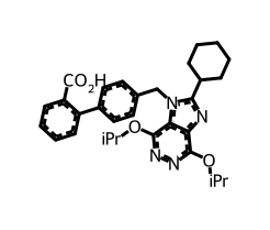 CC(C)Oc1nnc(OC(C)C)c2c1nc(C1CCCCC1)n2Cc1ccc(-c2ccccc2C(=O)O)cc1